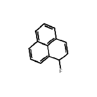 FC1C=Cc2cccc3cccc1c23